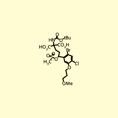 COCCCOc1cc(C(CCC(NC(=O)OC(C)(C)C)(C(=O)O)C(=O)O)OS(C)(=O)=O)c(Br)cc1Cl